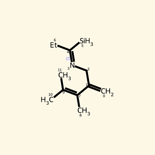 C=C(C/N=C(\[SiH3])CC)C(C)=C(C)C